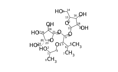 CC(O)COC(C(C)C)C(OC1OC(CO)C(O)C1O)OC1O[C@H](CO)C(O)C1O